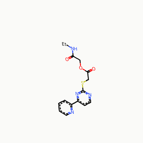 CCNC(=O)COC(=O)CSc1nccc(-c2ccccn2)n1